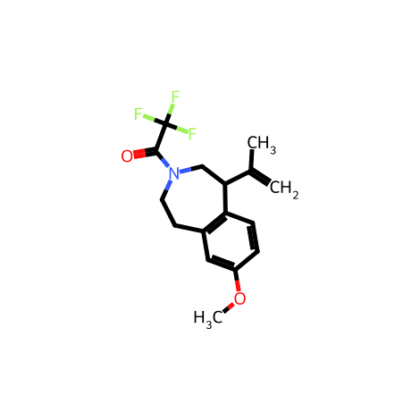 C=C(C)C1CN(C(=O)C(F)(F)F)CCc2cc(OC)ccc21